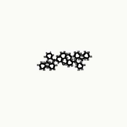 c1ccc(N(c2cc3c4c(ccc5ccc6c(N(c7ccccc7)c7cccc8c7sc7ccccc78)ccc(c6c54)O3)c2)c2cccc3c2sc2ccccc23)cc1